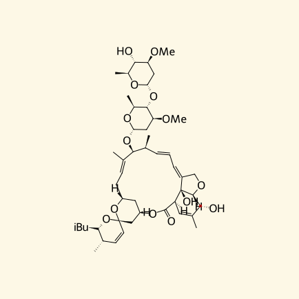 CC[C@H](C)[C@@H]1O[C@]2(C=C[C@@H]1C)C[C@@H]1C[C@@H](C/C=C(\C)[C@@H](O[C@H]3C[C@H](OC)[C@@H](O[C@H]4C[C@H](OC)[C@@H](O)[C@H](C)O4)[C@H](C)O3)[C@@H](C)/C=C/C=C3\CO[C@@H]4[C@H](O)C(C)=C[C@@H](C(=O)O1)[C@]34O)O2